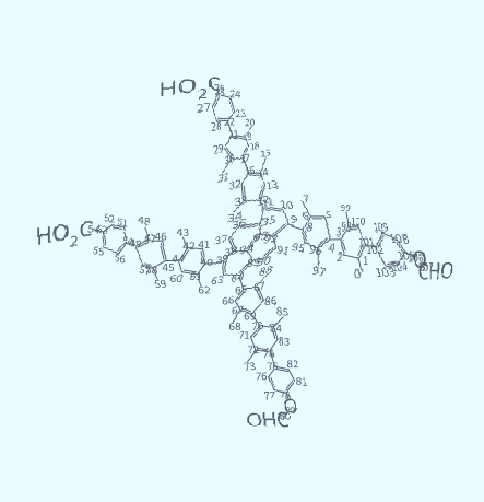 Cc1cc(-c2cc(C)c(-c3cc(-c4cc(C)c(-c5cc(C)c(-c6ccc(C(=O)O)cc6)cc5C)cc4C)c4ccc5c(-c6cc(C)c(-c7cc(C)c(-c8ccc(C(=O)O)cc8)cc7C)cc6C)cc(-c6cc(C)c(-c7cc(C)c(-c8ccc(OC=O)cc8)cc7C)cc6C)c6ccc3c4c65)cc2C)c(C)cc1-c1ccc(OC=O)cc1